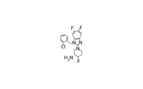 N[C@@H]1CN(c2nc3cc(F)c(F)cc3n2Cc2ccccc2Cl)CCC1F